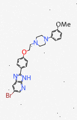 COc1cccc(N2CCN(CCOc3ccc(-c4nc5cc(Br)cnc5[nH]4)cc3)CC2)c1